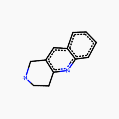 c1ccc2nc3c(cc2c1)C[N]CC3